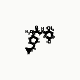 Cc1cnc(Cl)nc1NCC(=O)N(C)C1CCN(CC2CC2)CC1